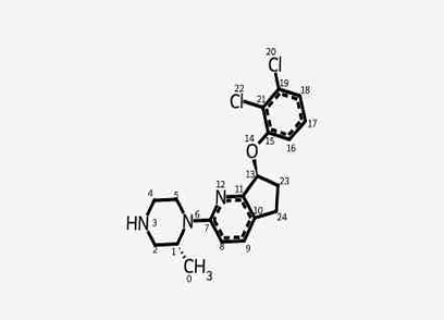 C[C@@H]1CNCCN1c1ccc2c(n1)[C@@H](Oc1cccc(Cl)c1Cl)CC2